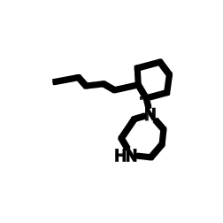 CCCCCC1CCCC[C]1N1CCCNCC1